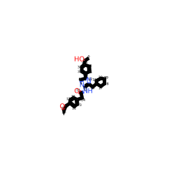 CC(O)c1ccc(-c2cnc(NC(=O)Cc3ccc(C4CO4)cc3)c(CC3CCCCC3)n2)cc1